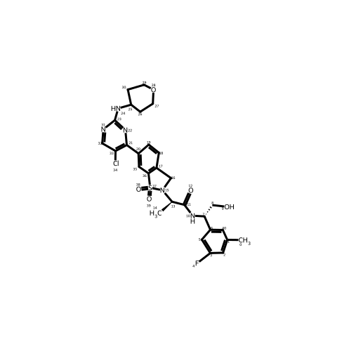 Cc1cc(F)cc([C@@H](CO)NC(=O)[C@@H](C)N2Cc3ccc(-c4nc(NC5CCOCC5)ncc4Cl)cc3S2(=O)=O)c1